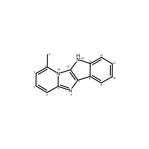 Cc1cccc2nc3c4ccccc4[nH]c3n12